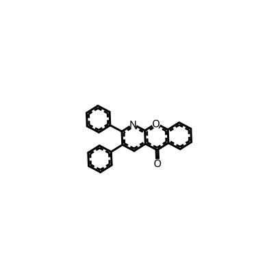 O=c1c2ccccc2oc2nc(-c3ccccc3)c(-c3ccccc3)cc12